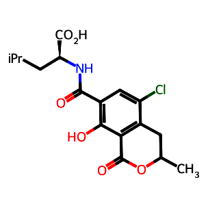 CC(C)C[C@H](NC(=O)c1cc(Cl)c2c(c1O)C(=O)OC(C)C2)C(=O)O